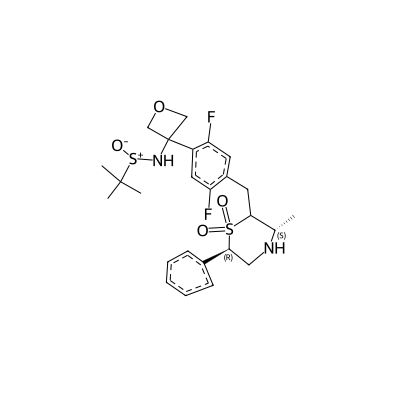 C[C@@H]1NC[C@@H](c2ccccc2)S(=O)(=O)C1Cc1cc(F)c(C2(N[S+]([O-])C(C)(C)C)COC2)cc1F